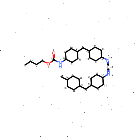 CCCCOC(=O)NC1CCC(CC2CCC(N=C=NC3CCC(CC4CCC(C)CC4)CC3)CC2)CC1